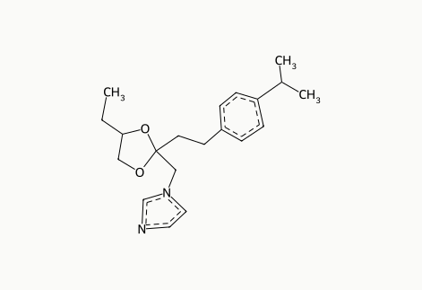 CCC1COC(CCc2ccc(C(C)C)cc2)(Cn2ccnc2)O1